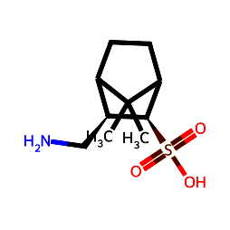 CC1(C)C2CCC1[C@H](CN)[C@@H]2S(=O)(=O)O